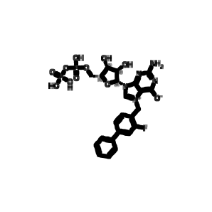 Nc1nc([O-])c2c(n1)n([C@@H]1O[C@H](COP(=O)(O)OP(=O)(O)O)[C@@H](O)[C@H]1O)c[n+]2Cc1ccc(-c2ccccc2)cc1F